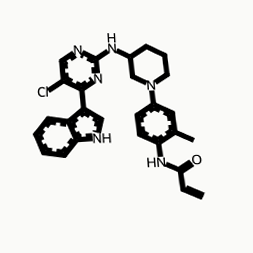 C=CC(=O)Nc1ccc(N2CCCC(Nc3ncc(Cl)c(-c4c[nH]c5ccccc45)n3)C2)cc1C